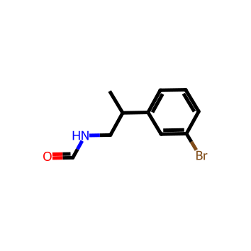 CC(CNC=O)c1cccc(Br)c1